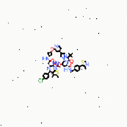 Cc1ncsc1-c1ccc([C@H](C)NC(=O)[C@@H]2C[C@@H](O)CN2C(=O)C(n2cc(-c3ccnc(O[C@H]4C[C@@H](NC(=O)C[C@@H]5N=C(c6ccc(Cl)cc6)c6c(sc(C)c6C)-n6c(C)nnc65)C4)c3)cn2)C(C)(C)C)cc1